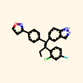 CCC(=C(c1ccc(-c2ccon2)cc1)c1ccc2[nH]ncc2c1)c1ccc(F)cc1Cl